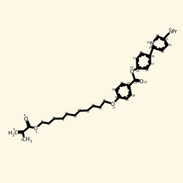 C=C(C)C(=O)OCCCCCCCCCCCOc1ccc(C(=O)Oc2ccc(-c3ccc(CCC)cn3)cc2)cc1